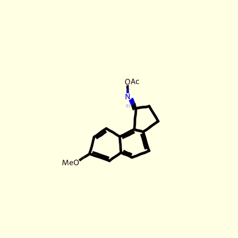 COc1ccc2c3c(ccc2c1)CC/C3=N\OC(C)=O